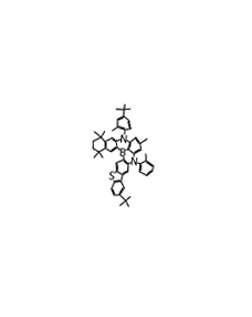 Cc1cc2c3c(c1)N(c1ccccc1C)c1cc4c(cc1B3c1cc3c(cc1N2c1ccc(C(C)(C)C)cc1C)C(C)(C)CCC3(C)C)sc1ccc(C(C)(C)C)cc14